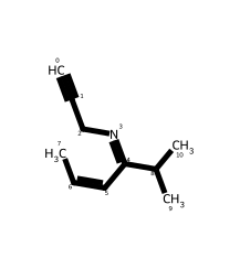 C#CC/N=C(\C=C/C)C(C)C